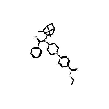 CCOC(=O)c1ccc(N2CCC(N(C(=O)c3ccccc3)C3CC4CC(C3C)C4(C)C)CC2)cc1